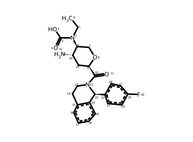 CCN(C(=O)O)[C@H]1CO[C@@H](C(=O)N2CCc3ccccc3[C@@H]2c2ccc(F)cc2)C[C@@H]1N